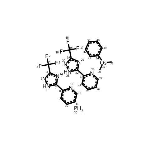 FC(F)(F)c1n[nH]c(-c2ccccn2)n1.FC(F)(F)c1n[nH]c(-c2ccccn2)n1.P.[CH3][Os]([CH3])[c]1ccccc1